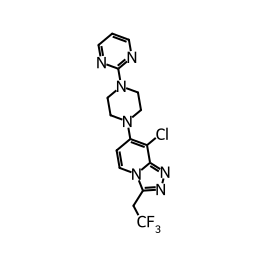 FC(F)(F)Cc1nnc2c(Cl)c(N3CCN(c4ncccn4)CC3)ccn12